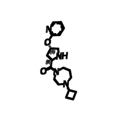 O=C([C@H]1C[C@H](Oc2ccccn2)CN1)N1CCCN(C2CCC2)CC1